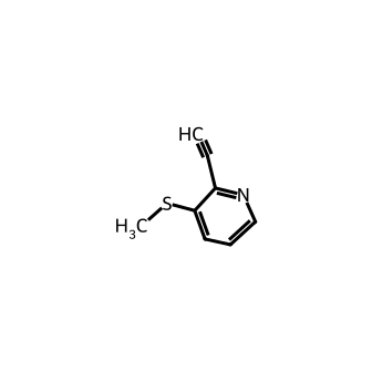 C#Cc1ncccc1SC